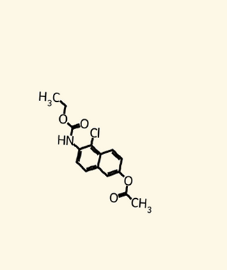 CCOC(=O)Nc1ccc2cc(OC(C)=O)ccc2c1Cl